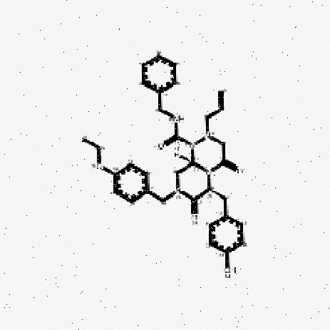 C=CCN1CC(=O)N2[C@@H](Cc3ccc(O)cc3)C(=O)N(Cc3ccc(OCC)cc3)C[C@@H]2N1C(=O)NCc1ccccc1